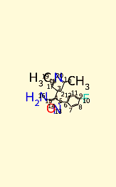 Cc1cc(-c2c(-c3ccc(F)cc3)noc2N)cc(C)n1